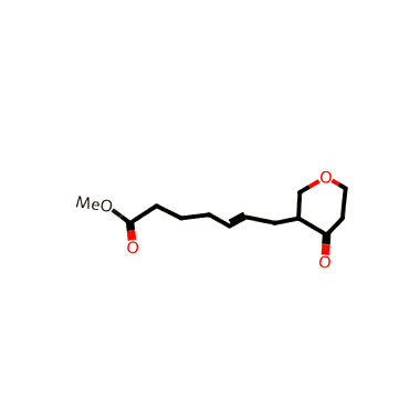 COC(=O)CCCC=CCC1COCCC1=O